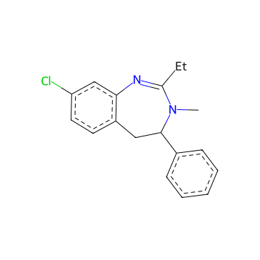 CCC1=Nc2cc(Cl)ccc2CC(c2ccccc2)N1C